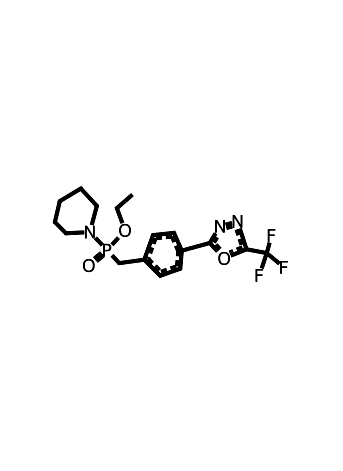 CCOP(=O)(Cc1ccc(-c2nnc(C(F)(F)F)o2)cc1)N1CCCCC1